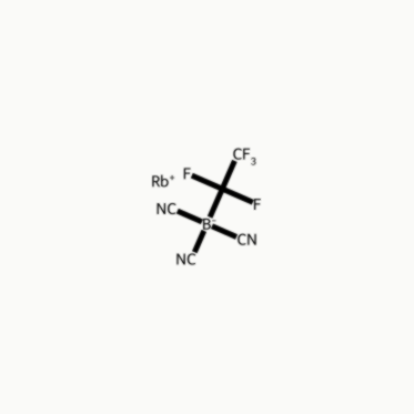 N#C[B-](C#N)(C#N)C(F)(F)C(F)(F)F.[Rb+]